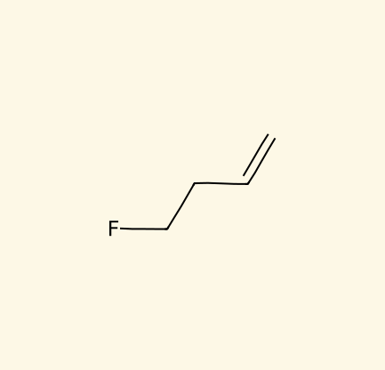 C=CCCF